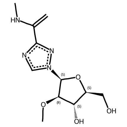 C=C(NC)c1ncn([C@H]2O[C@@H](CO)[C@H](O)[C@H]2OC)n1